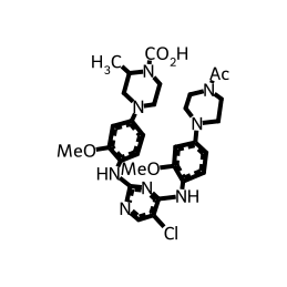 COc1cc(N2CCN(C(=O)O)C(C)C2)ccc1Nc1ncc(Cl)c(Nc2ccc(N3CCN(C(C)=O)CC3)cc2OC)n1